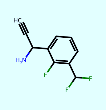 C#CC(N)c1cccc(C(F)F)c1F